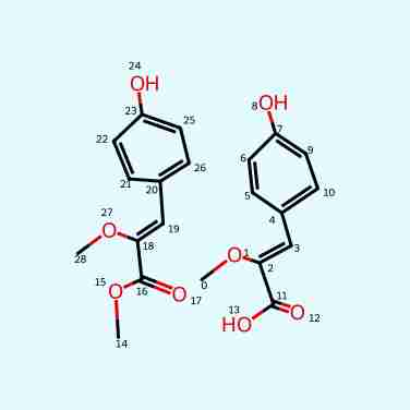 COC(=Cc1ccc(O)cc1)C(=O)O.COC(=O)C(=Cc1ccc(O)cc1)OC